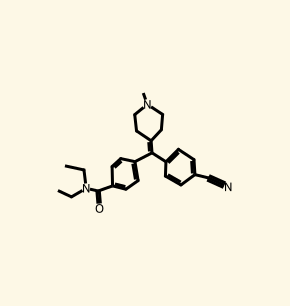 CCN(CC)C(=O)c1ccc(C(=C2CCN(C)CC2)c2ccc(C#N)cc2)cc1